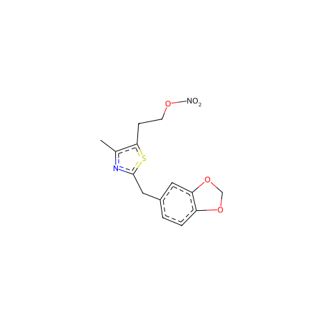 Cc1nc(Cc2ccc3c(c2)OCO3)sc1CCO[N+](=O)[O-]